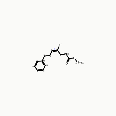 CCCCCCOC(=O)NC/C(F)=C\CCc1ccccc1